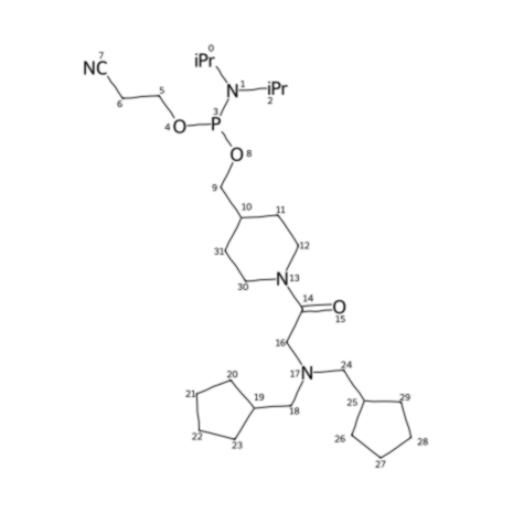 CC(C)N(C(C)C)P(OCCC#N)OCC1CCN(C(=O)CN(CC2CCCC2)CC2CCCC2)CC1